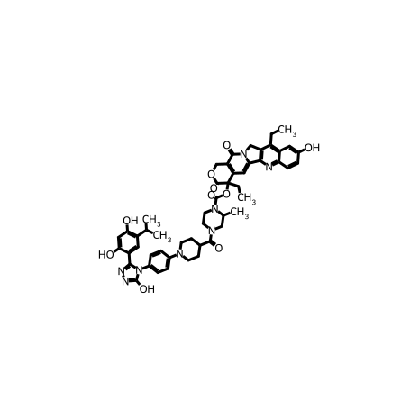 CCc1c2c(nc3ccc(O)cc13)-c1cc3c(c(=O)n1C2)COC(=O)C3(CC)OC(=O)N1CCN(C(=O)C2CCN(c3ccc(-n4c(O)nnc4-c4cc(C(C)C)c(O)cc4O)cc3)CC2)CC1C